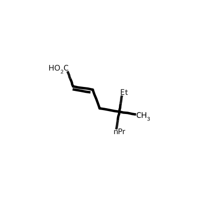 CCCC(C)(CC)CC=CC(=O)O